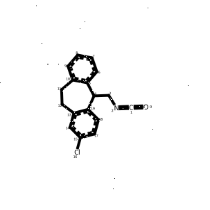 O=C=NCC1c2ccccc2CCc2cc(Cl)ccc21